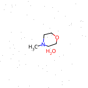 CN1CCOCC1.O